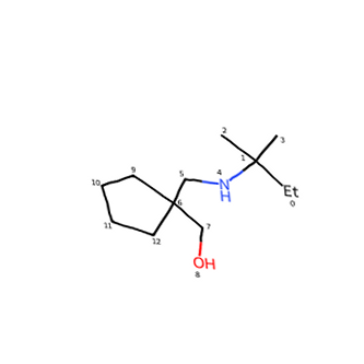 CCC(C)(C)NCC1(CO)CCCC1